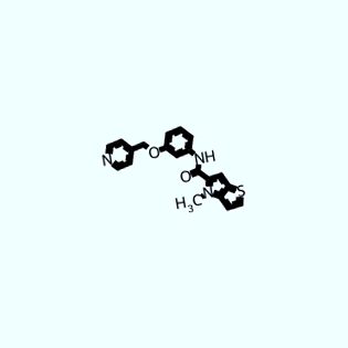 Cn1c(C(=O)Nc2cccc(OCc3ccncc3)c2)cc2sccc21